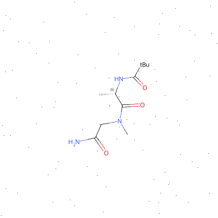 C[C@H](NC(=O)C(C)(C)C)C(=O)N(C)CC(N)=O